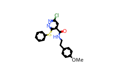 COc1ccc(CCNC(=O)c2cc(Cl)nnc2Sc2ccccc2)cc1